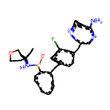 CC1(N[S+]([O-])c2ccccc2-c2ccc(-c3cnc(N)cn3)c(F)c2)COC1